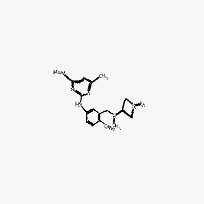 CCN1CC(N(C)Cc2cc(Nc3nc(C)cc(NC)n3)ccc2OC)C1